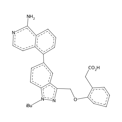 CCC(C)n1nc(COc2ccccc2CC(=O)O)c2cc(-c3cccc4c(N)nccc34)ccc21